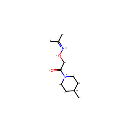 CC(C)=NOCC(=O)N1CCC(C)CC1